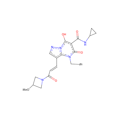 COC1CN(C(=O)C=Cc2cnn3c(O)c(C(=O)NC4CC4)c(=O)n(CC(C)C)c23)C1